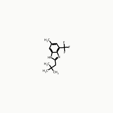 Cc1cc(C(F)(F)F)c2nc(CC(C)(C)C)[nH]c2c1